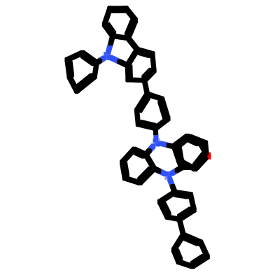 c1ccc(-c2ccc(N(c3ccccc3)c3ccccc3N(c3ccccc3)c3ccc(-c4ccc5c6ccccc6n(-c6ccccc6)c5c4)cc3)cc2)cc1